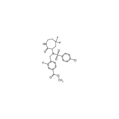 COC(=O)c1ccc(CN(C2CC(F)(F)CCNC2=O)S(=O)(=O)c2ccc(Cl)cc2)c(F)c1